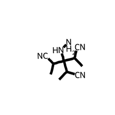 CC(C#N)C(NN)(C(C)C#N)C(C)C#N